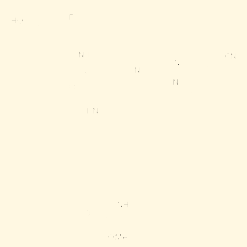 COC(=O)NC(C)(C)c1ccc(Nc2cc(-c3ccc4cc(C#N)cnn34)ncc2C(=O)NC[C@@H](F)C(C)(C)O)cc1